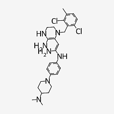 Cc1ccc(Cl)c(CN2CCNC(N)=C2/C=C(\N)Nc2ccc(N3CCC(N(C)C)CC3)cc2)c1Cl